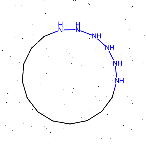 C1CCCCCNNNNNNCCCCC1